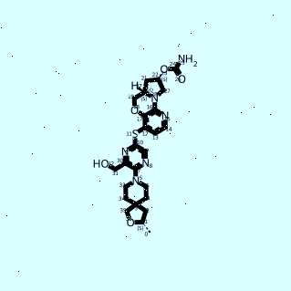 C[C@H]1CC2(CCN(c3ncc(Sc4ccnc5c4OC[C@@H]4C[C@H](OC(N)=O)CN54)nc3CO)CC2)CO1